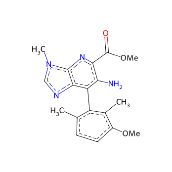 COC(=O)c1nc2c(ncn2C)c(-c2c(C)ccc(OC)c2C)c1N